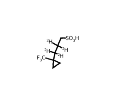 [2H]C([2H])(CS(=O)(=O)O)C([2H])([2H])C1(C(F)(F)F)CC1